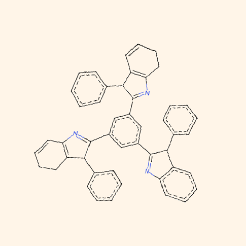 C1=CC2=C(CC1)N=C(c1cc(C3=NC4=C(CCC=C4)C3c3ccccc3)cc(C3=Nc4ccccc4C3c3ccccc3)c1)C2c1ccccc1